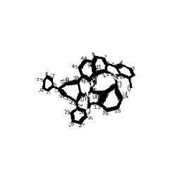 Cc1cccc2c3ccccc3n(-c3cccc4c3C(=O)N(c3c(-c5ccccc5)cc(-c5ccccc5)cc3-c3ccccc3)C4=O)c12